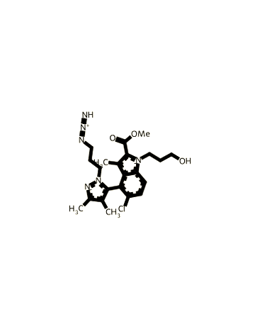 COC(=O)c1c(C)c2c(-c3c(C)c(C)nn3CCCN=[N+]=N)c(Cl)ccc2n1CCCO